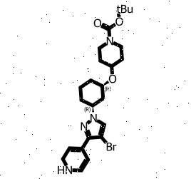 CC(C)(C)OC(=O)N1CCC(O[C@@H]2CCC[C@@H](n3cc(Br)c(C4=CCNC=C4)n3)C2)CC1